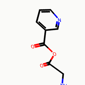 NCC(=O)OC(=O)c1cccnc1